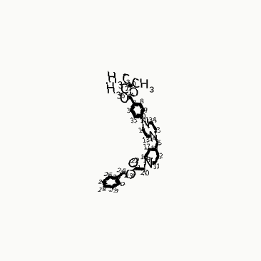 CC(C)(C)OC(=O)c1ccc(N2CCN(CC3CCN(CC(=O)OCc4ccccc4)CC3)CC2)cc1